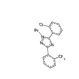 CC(C)n1nc(-c2ccccc2C(F)(F)F)nc1-c1ccccc1Cl